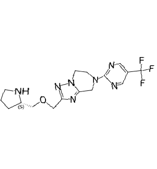 FC(F)(F)c1cnc(N2CCn3nc(COC[C@@H]4CCCN4)nc3C2)nc1